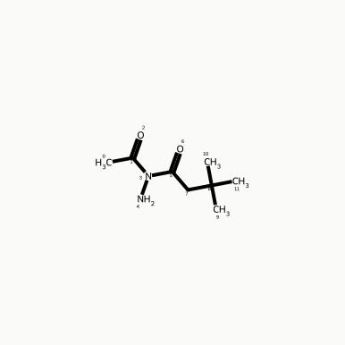 CC(=O)N(N)C(=O)CC(C)(C)C